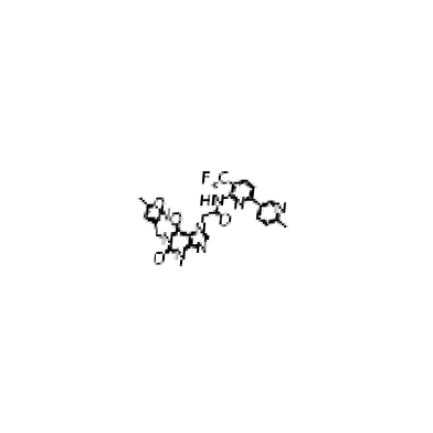 Cc1ccc(-c2ccc(C(F)(F)F)c(NC(=O)Cn3cnc4c3c(=O)n(Cc3cc(C)on3)c(=O)n4C)n2)cn1